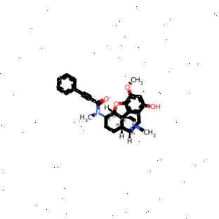 COc1cc(O)c2c3c1O[C@H]1[C@H](N(C)C(=O)C#Cc4ccccc4)CC[C@H]4[C@@H](C2)N(C)CC[C@@]341